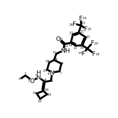 CCONC(CN1CCC(CNC(=O)c2cc(C(F)(F)F)cc(C(F)(F)F)c2)CC1)=C1CCC1